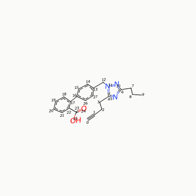 C#CCCc1nc(CCC)nn1Cc1ccc(-c2ccccc2C(=O)O)cc1